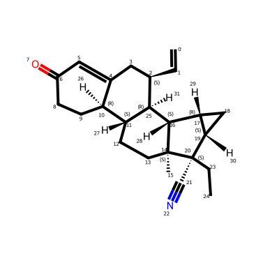 C=C[C@@H]1CC2=CC(=O)CC[C@@H]2[C@H]2CC[C@@]3(C)[C@@H]([C@@H]4C[C@@H]4[C@@]3(C#N)CC)[C@@H]21